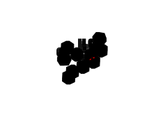 CC1(C)C2=C(c3ccc(N(c4ccc(-c5cccc6oc7ccccc7c56)cc4)c4cc(-c5ccc6ccccc6c5)ccc4-c4ccccc4)cc3)CCC=C2c2ccccc21